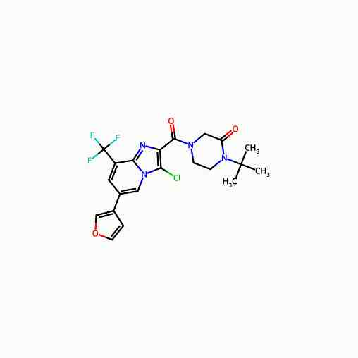 CC(C)(C)N1CCN(C(=O)c2nc3c(C(F)(F)F)cc(-c4ccoc4)cn3c2Cl)CC1=O